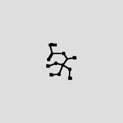 CCCCCCCCCCC(=O)OC(CC)[Si](OCC)(OCC)OCC